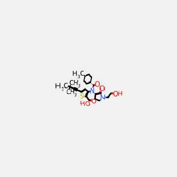 CC(C)(C)C#Cc1cc(N(C(=O)[C@H]2CC[C@H](C)CC2)[C@H]2CCN(CCO)C2=O)c(C(=O)O)s1